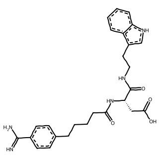 N=C(N)c1ccc(CCCCC(=O)N[C@@H](CC(=O)O)C(=O)NCCc2c[nH]c3ccccc23)cc1